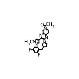 CC(=O)N1CCc2nc(N3CCC(Cc4ccc(F)cc4F)C3)c(-c3cnn(C)c3)nc2C1